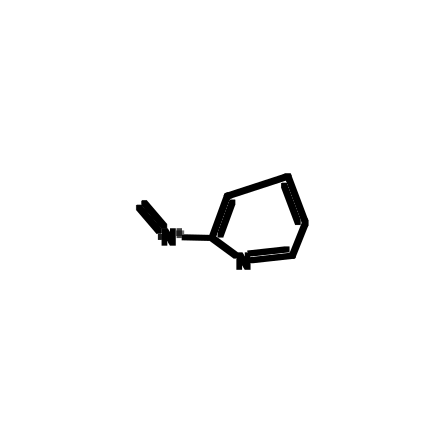 C=[N+]c1ccccn1